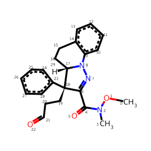 CON(C)C(=O)C1=NN2c3ccccc3CC[C@H]2[C@@]1(CCC=O)c1ccccc1